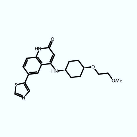 COCCO[C@H]1CC[C@@H](Nc2cc(=O)[nH]c3ccc(-c4cncs4)cc23)CC1